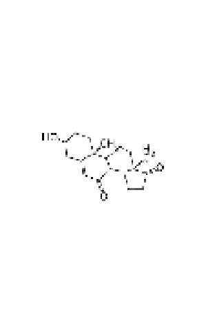 C[C@]12CCC(O)CC1=CC(=O)C1C2CC[C@]2(C)C(=O)CCC12